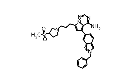 CS(=O)(=O)C1CCN(CCCc2cc(-c3ccc4cn(Cc5ccccc5)nc4c3)c3c(N)ncnn23)C1